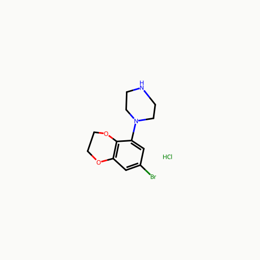 Brc1cc2c(c(N3CCNCC3)c1)OCCO2.Cl